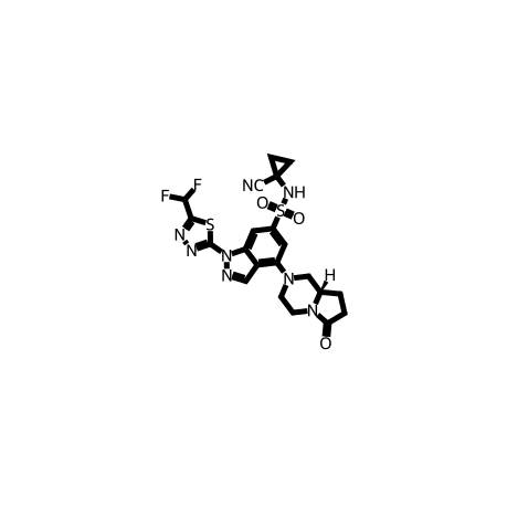 N#CC1(NS(=O)(=O)c2cc(N3CCN4C(=O)CC[C@H]4C3)c3cnn(-c4nnc(C(F)F)s4)c3c2)CC1